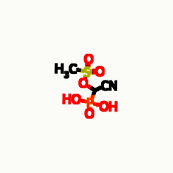 CS(=O)(=O)OC(C#N)P(=O)(O)O